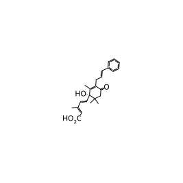 CC(C=C[C@@]1(O)C(C)=C(CC=Cc2ccccc2)C(=O)CC1(C)C)=CC(=O)O